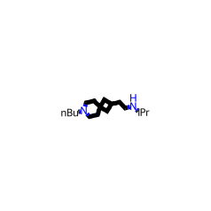 CCCCN1CCC2(CC1)CC(CCNC(C)C)C2